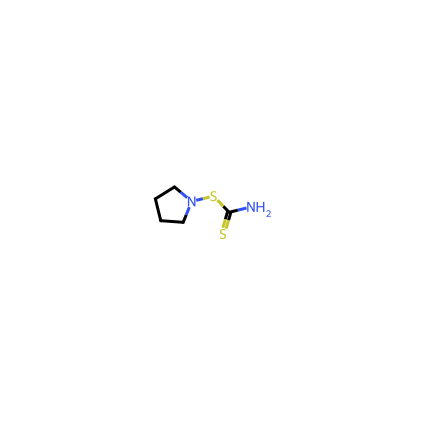 NC(=S)SN1CCCC1